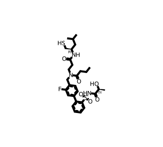 CCCC(=O)N(CCC(=O)N[C@@H](CS)CC(C)C)Cc1ccc(-c2ccccc2S(=O)(=O)NC(=O)[C@H](C)O)cc1F